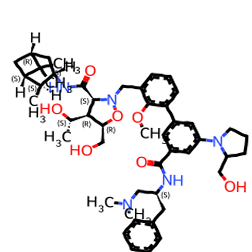 COc1c(CN2O[C@@H](CO)[C@@H]([C@H](C)O)[C@H]2C(=O)N[C@H]2C[C@H]3C[C@@H]([C@@H]2C)C3(C)C)cccc1-c1cc(C(=O)N[C@@H](Cc2ccccc2)CN(C)C)cc(N2CCCC2CO)c1